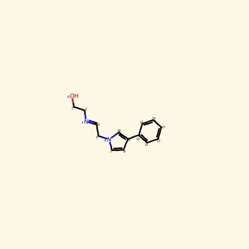 OCC/N=C/Cn1ccc(-c2ccccc2)c1